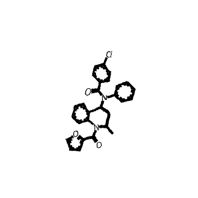 CC1CC(N(C(=O)c2ccc(Cl)cc2)c2ccccc2)c2ccccc2N1C(=O)c1ccco1